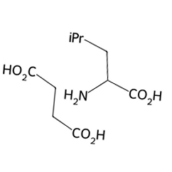 CC(C)CC(N)C(=O)O.O=C(O)CCC(=O)O